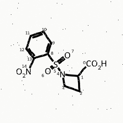 O=C(O)C1CCN1S(=O)(=O)c1ccccc1[N+](=O)[O-]